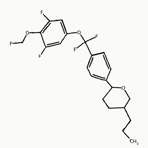 CCCC1CCC(c2ccc(C(F)(F)Oc3cc(F)c(OCF)c(F)c3)cc2)OC1